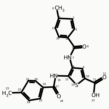 Cc1ccc(C(=O)Nc2cc(C(=O)O)sc2NC(=O)c2ccc(C)cc2)cc1